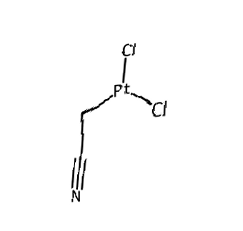 N#C[CH2][Pt]([Cl])[Cl]